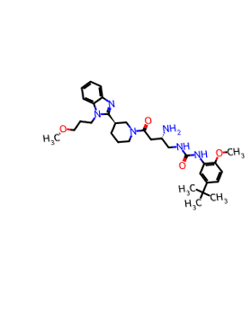 COCCCn1c([C@@H]2CCCN(C(=O)C[C@H](N)CNC(=O)Nc3cc(C(C)(C)C)ccc3OC)C2)nc2ccccc21